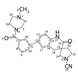 CN1CCN(C(=O)c2cccc(-c3ccc4c(c3)CC3(CCN(C#N)C3)C(=O)N4)c2)CC1